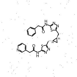 O=C(Cc1ccccc1)Nc1nnc(C[C@H]2C[C@@H]2Cc2nnc(NC(=O)Cc3cccnc3)s2)s1